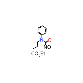 CCOC(=O)CCCN(C(=O)N=O)c1ccccc1